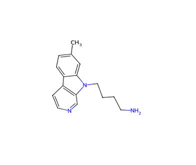 Cc1ccc2c3ccncc3n(CCCCN)c2c1